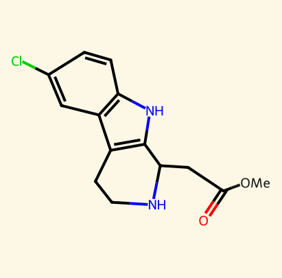 COC(=O)CC1NCCc2c1[nH]c1ccc(Cl)cc21